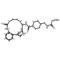 CC(C)(C)OC(=O)NCC1CCC(C(=O)NC2CCCCC(=O)Nc3ccccc3-c3c[nH]c2n3)CC1